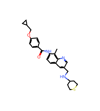 Cc1c(NC(=O)c2ccc(OCC3CC3)cc2)ccc2cc(CNC3CCSCC3)cnc12